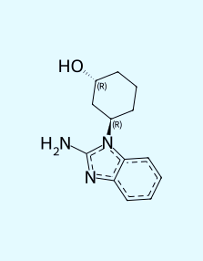 Nc1nc2ccccc2n1[C@@H]1CCC[C@@H](O)C1